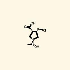 CB(O)N1C[C@@H](NCl)[C@H](C(=O)O)C1